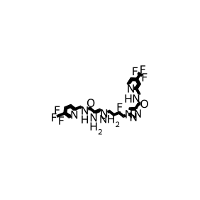 N/C(=C\N(N)CCC(F)Cn1cc(C(=O)NCc2cc(C(F)(F)F)ccn2)nn1)C(=O)NCc1ccc(C(F)(F)F)cn1